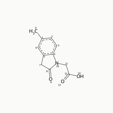 Cc1ccc2c(c1)CC(=O)N2CC(=O)O